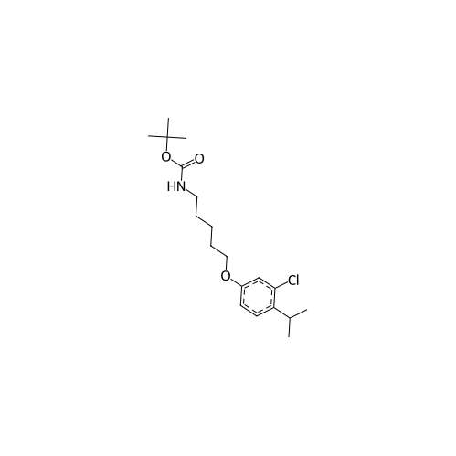 CC(C)c1ccc(OCCCCCNC(=O)OC(C)(C)C)cc1Cl